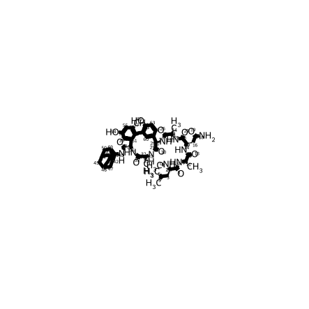 CN[C@H](CC(C)C)C(=O)N[C@H](C)C(=O)N[C@@H](CC(N)=O)C(=O)N[C@H](C)C(=O)N[C@H]1C(=O)N[C@@H](C)C(=O)N[C@H](C(=O)NC2C3CC4CC(C3)CC2C4)c2cc(O)cc(C)c2-c2cc1ccc2O